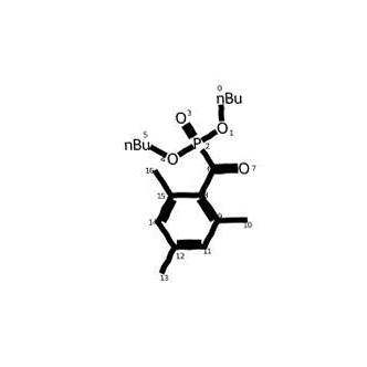 CCCCOP(=O)(OCCCC)C(=O)c1c(C)cc(C)cc1C